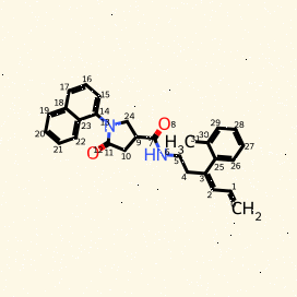 C=C/C=C(/CCNC(=O)C1CC(=O)N(c2cccc3ccccc23)C1)c1ccccc1C